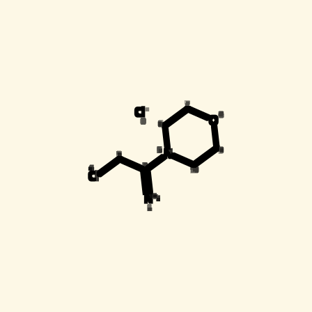 [Cl-].[N+]=C(CCl)N1CCOCC1